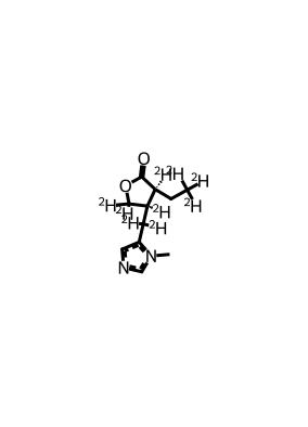 [2H]C([2H])([2H])C[C@]1([2H])C(=O)OC([2H])([2H])[C@]1([2H])C([2H])([2H])c1cncn1C